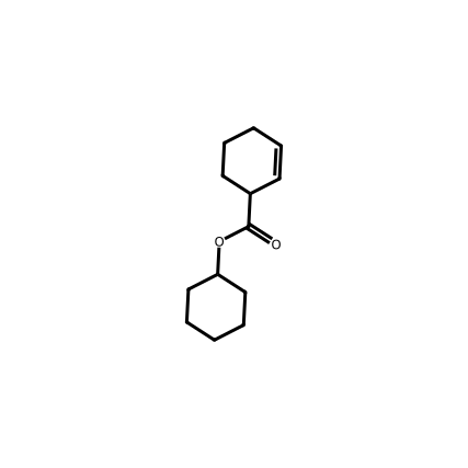 O=C(OC1CCCCC1)C1C=CCCC1